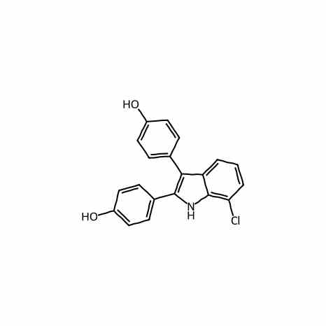 Oc1ccc(-c2[nH]c3c(Cl)cccc3c2-c2ccc(O)cc2)cc1